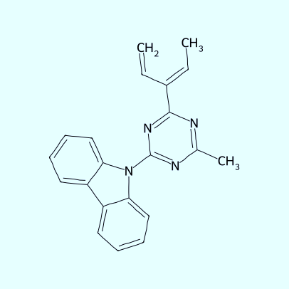 C=C/C(=C\C)c1nc(C)nc(-n2c3ccccc3c3ccccc32)n1